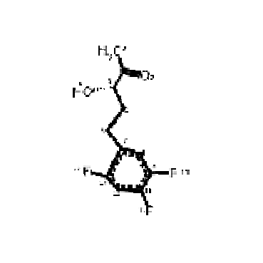 CC(=O)[C@@H](O)CCc1cc(F)c(F)cc1F